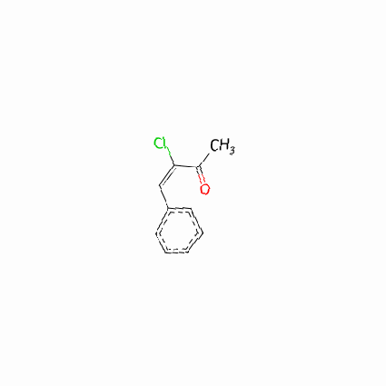 CC(=O)/C(Cl)=C\c1ccccc1